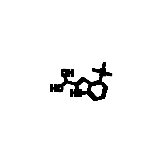 C[Si](C)(C)c1cccc2[nH]c(C(O)O)cc12